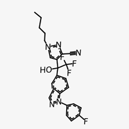 CCCCCn1cc(C(O)(c2ccc3c(cnn3-c3ccc(F)cc3)c2)C(F)(F)F)c(C#N)n1